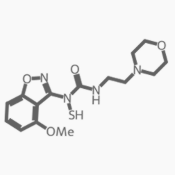 COc1cccc2onc(N(S)C(=O)NCCN3CCOCC3)c12